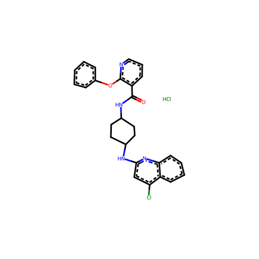 Cl.O=C(NC1CCC(Nc2cc(Cl)c3ccccc3n2)CC1)c1cccnc1Oc1ccccc1